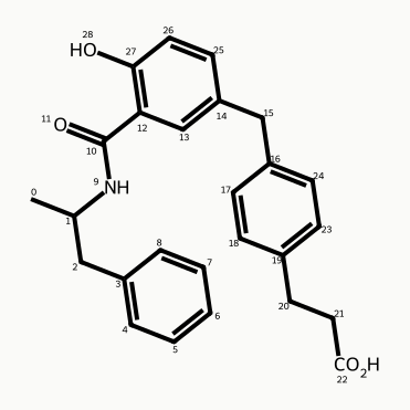 CC(Cc1ccccc1)NC(=O)c1cc(Cc2ccc(CCC(=O)O)cc2)ccc1O